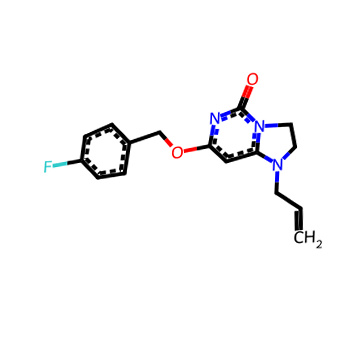 C=CCN1CCn2c1cc(OCc1ccc(F)cc1)nc2=O